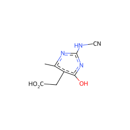 Cc1nc(NC#N)nc(O)c1CC(=O)O